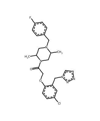 CC1CN(C(=O)COc2ccc(Cl)cc2Cn2cnnn2)C(C)CN1Cc1ccc(F)cc1